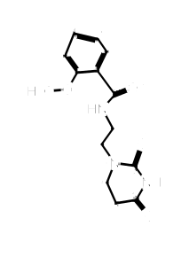 COc1ccccc1C(=O)NCCN1CCC(=O)NC1=O